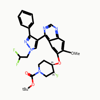 COc1cc2ncnc(-c3cn(CC(F)F)nc3-c3ccccc3)c2cc1O[C@@H]1CCN(C(=O)OC(C)(C)C)C[C@H]1F